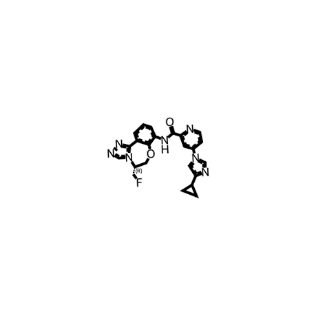 O=C(Nc1cccc2c1OC[C@H](CF)n1cnnc1-2)c1cc(-n2cnc(C3CC3)c2)ccn1